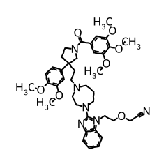 COc1ccc(C2(CCN3CCCN(c4nc5ccccc5n4CCOCC#N)CC3)CCN(C(=O)c3cc(OC)c(OC)c(OC)c3)C2)cc1OC